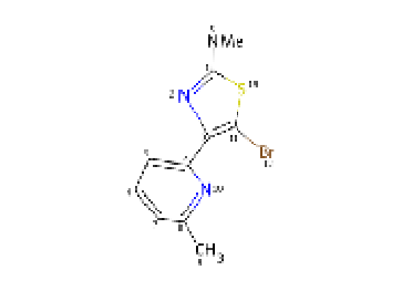 CNc1nc(-c2cccc(C)n2)c(Br)s1